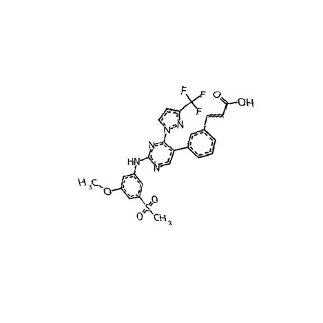 COc1cc(Nc2ncc(-c3cccc(C=CC(=O)O)c3)c(-n3ccc(C(F)(F)F)n3)n2)cc(S(C)(=O)=O)c1